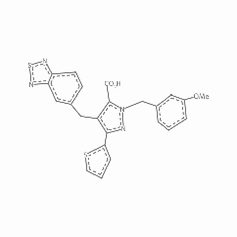 COc1cccc(Cn2nc(-c3cccs3)c(Cc3ccc4nsnc4c3)c2C(=O)O)c1